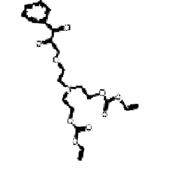 C=COC(=O)OCCN(CCOCC(=O)C(=O)c1ccccc1)CCOC(=O)OC=C